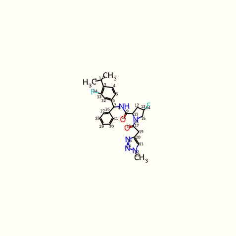 CC(C)c1ccc(C(NC(=O)C2CC(F)CN2C(=O)Cc2cn(C)nn2)c2ccccc2)cc1F